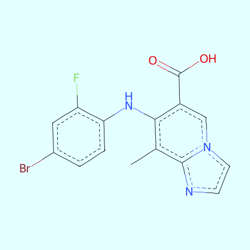 Cc1c(Nc2ccc(Br)cc2F)c(C(=O)O)cn2ccnc12